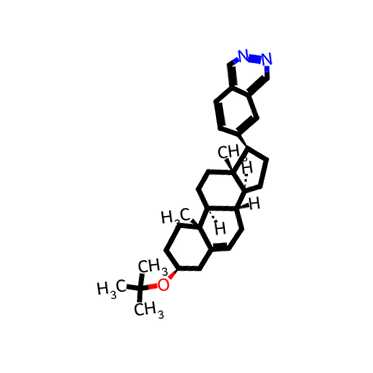 CC(C)(C)O[C@H]1CC[C@@]2(C)C(=CC[C@H]3[C@@H]4CC[C@H](c5ccc6cnncc6c5)[C@@]4(C)CC[C@@H]32)C1